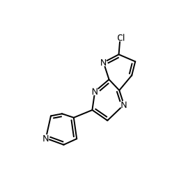 Clc1ccc2ncc(-c3ccncc3)nc2n1